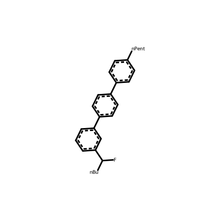 CCCCCc1ccc(-c2ccc(-c3cccc(C(F)CCCC)c3)cc2)cc1